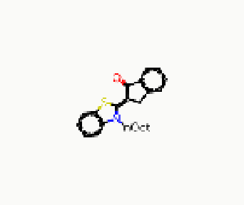 CCCCCCCCN1/C(=C2\Cc3ccccc3C2=O)Sc2ccccc21